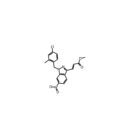 COC(=O)C=Cc1nn(Cc2ccc(Cl)cc2C)c2cc([N+](=O)[O-])ccc12